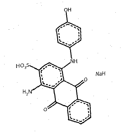 Nc1c(S(=O)(=O)O)cc(Nc2ccc(O)cc2)c2c1C(=O)c1ccccc1C2=O.[NaH]